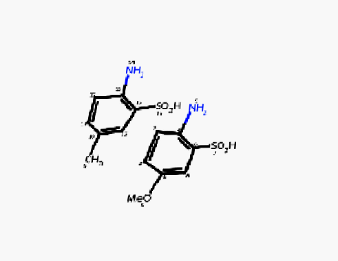 COc1ccc(N)c(S(=O)(=O)O)c1.Cc1ccc(N)c(S(=O)(=O)O)c1